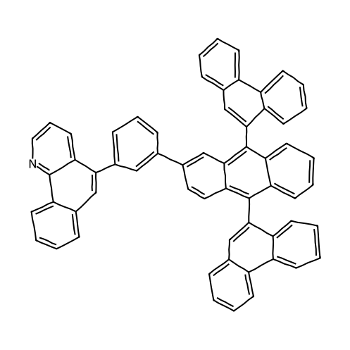 c1cc(-c2ccc3c(-c4cc5ccccc5c5ccccc45)c4ccccc4c(-c4cc5ccccc5c5ccccc45)c3c2)cc(-c2cc3ccccc3c3ncccc23)c1